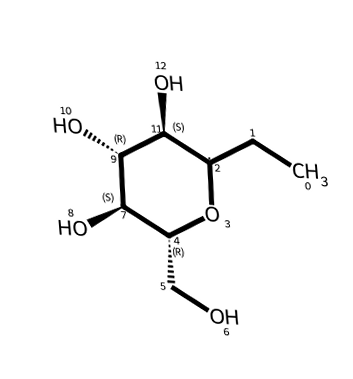 CC[C]1O[C@H](CO)[C@@H](O)[C@H](O)[C@H]1O